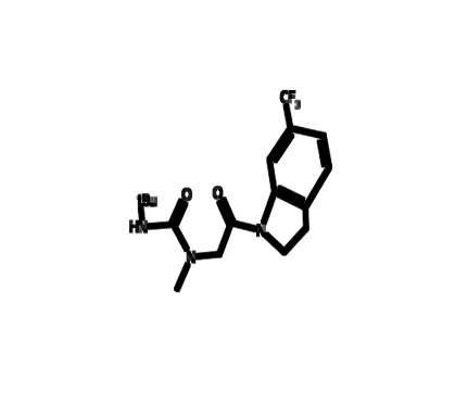 CN(CC(=O)N1CCc2ccc(C(F)(F)F)cc21)C(=O)NC(C)(C)C